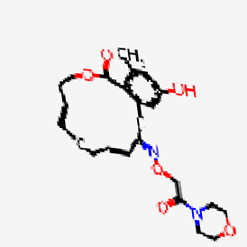 Cc1cc(O)cc2c1C(=O)OCC/C=C/CC/C=C/C(=N\OCC(=O)N1CCOCC1)C2